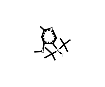 COc1cc(C)ncc1[Si](F)(C(C)(C)C)C(C)(C)C